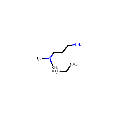 CN(C)CCCN.CNCC(=O)O